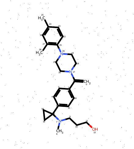 C=C(c1ccc(C2(N(C)CCCO)CC2)cc1)N1CCN(c2ccc(C)cc2C)CC1